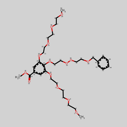 COCCOCCOCCOc1cc(C(=O)OC)cc(OCCOCCOCCOC)c1OCCOOCCOCc1ccccc1